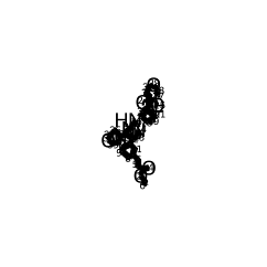 CCOC(=O)/C=C/c1cccc(-c2cnc(Nc3ccc(F)c(S(=O)(=O)N4CCOCC4)c3)nc2N2CCOCC2)c1